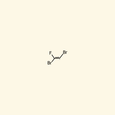 F/C(Br)=[C]\Br